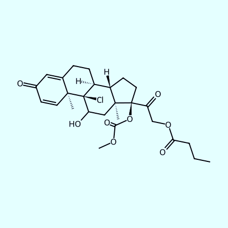 CCCC(=O)OCC(=O)[C@@]1(OC(=O)OC)CC[C@H]2[C@@H]3CCC4=CC(=O)C=C[C@]4(C)[C@@]3(Cl)C(O)C[C@@]21C